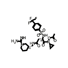 CC(=O)ON(C(=O)[C@H](CC(=O)NC[C@@H]1CCCN(C(=N)N)C1)NS(=O)(=O)c1ccc(C(F)(F)F)cc1)C1CC1